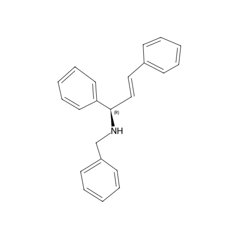 C(=C[C@@H](NCc1ccccc1)c1ccccc1)c1ccccc1